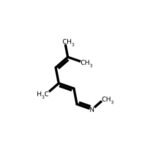 C/N=C\C=C(/C)C=C(C)C